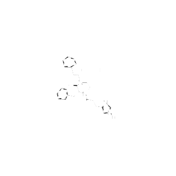 CCCn1cnc(CCC(=O)N2CCN([C@@H](Cc3ccccc3)C(=O)OCC)C(=O)[C@@H]2Cc2ccccc2)c1